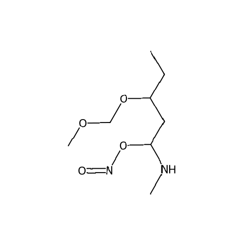 CCC(CC(NC)ON=O)OCOC